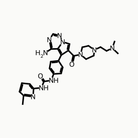 Cc1cccc(NC(=O)Nc2ccc(-c3c(C(=O)N4CCN(CCN(C)C)CC4)cn4ncnc(N)c34)cc2)n1